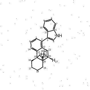 c1cc(-c2c[nH]c3ccccc23)c2c(c1)[C@@]13CCCC[C@H]1[C@@H](C2)NCC3